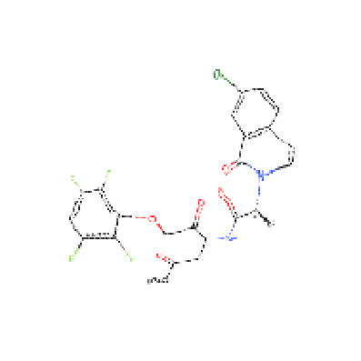 CC[C@@H](C(=O)NC(CC(=O)OCC(C)C)C(=O)COc1c(F)c(F)cc(F)c1F)n1ccc2ccc(Cl)cc2c1=O